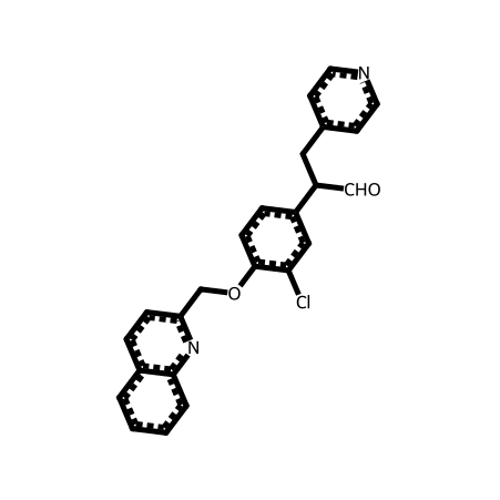 O=CC(Cc1ccncc1)c1ccc(OCc2ccc3ccccc3n2)c(Cl)c1